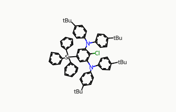 CC(C)(C)c1ccc(N(c2ccc(C(C)(C)C)cc2)c2cc([Si](c3ccccc3)(c3ccccc3)c3ccccc3)cc(N(c3ccc(C(C)(C)C)cc3)c3ccc(C(C)(C)C)cc3)c2Cl)cc1